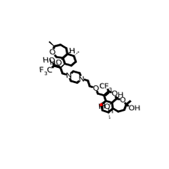 C[C@@H]1CC[C@@H](/C(CN2CCN(CCOCC3=C(C(F)(F)F)O[C@@H]4OC(C)(O)CC[C@H]5[C@H](C)CC[C@@H]3[C@@]45O)CC2)=C(\O)C(F)(F)F)[C@@]2(O)CO[C@@H](C)CC[C@@H]12